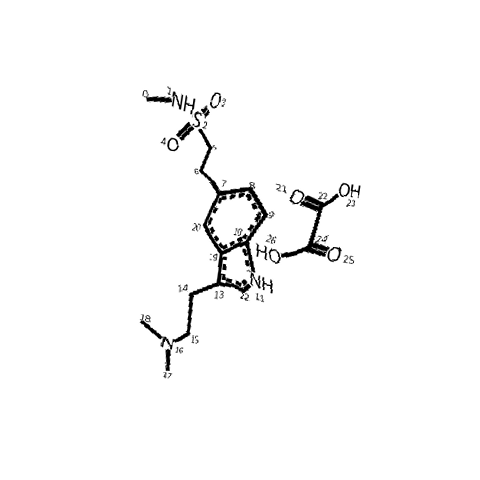 CNS(=O)(=O)CCc1ccc2[nH]cc(CCN(C)C)c2c1.O=C(O)C(=O)O